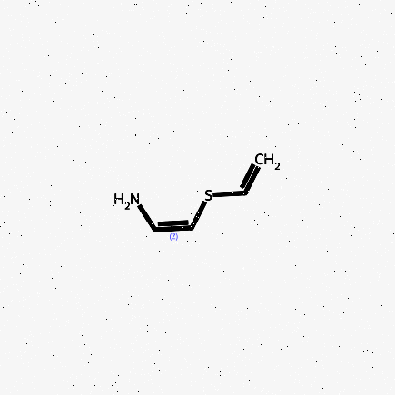 C=CS/C=C\N